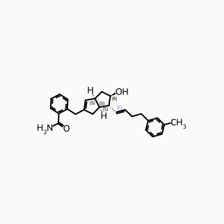 Cc1cccc(CC/C=C/[C@@H]2[C@H]3CC(Cc4ccccc4C(N)=O)=C[C@H]3C[C@H]2O)c1